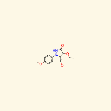 CCOC1C(=O)NN(c2ccc(OC)cc2)C1=C=O